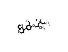 CC(CN)CC(C)COc1ccc(-c2ccnc3ccnn23)cc1CF